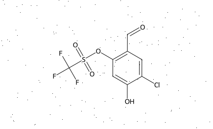 O=Cc1cc(Cl)c(O)cc1OS(=O)(=O)C(F)(F)F